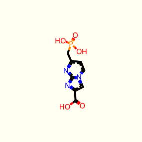 O=C(O)c1cn2ccc(CP(=O)(O)O)nc2n1